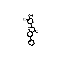 O=c1cc(-c2ccc(O)c(O)c2)oc2ccc(C3=CCCCC3)cc12